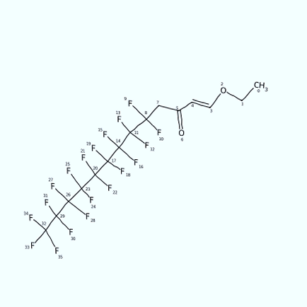 CCOC=CC(=O)CC(F)(F)C(F)(F)C(F)(F)C(F)(F)C(F)(F)C(F)(F)C(F)(F)C(F)(F)C(F)(F)F